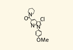 COc1ccc(-n2cc(Cl)c3cc(C(=O)N4CCCCC4)cnc32)cc1